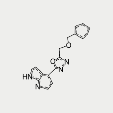 c1ccc(COCc2nnc(-c3ccnc4[nH]ccc34)o2)cc1